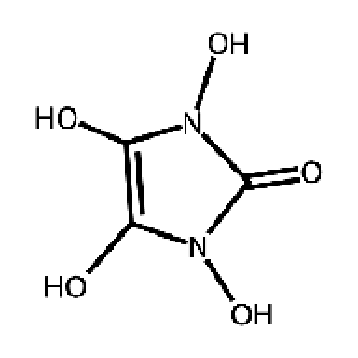 O=c1n(O)c(O)c(O)n1O